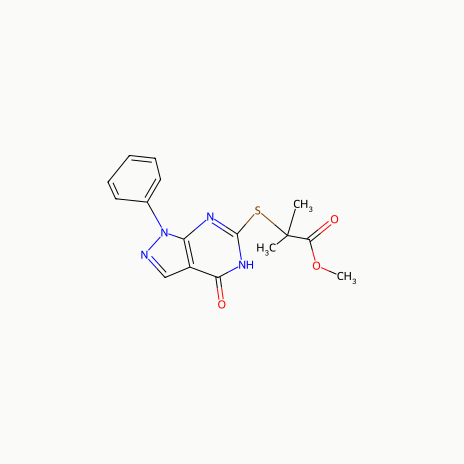 COC(=O)C(C)(C)Sc1nc2c(cnn2-c2ccccc2)c(=O)[nH]1